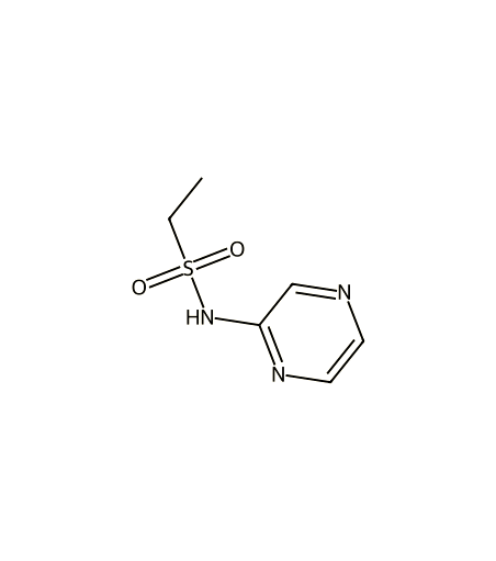 CCS(=O)(=O)Nc1cnccn1